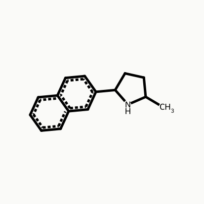 CC1CCC(c2ccc3ccccc3c2)N1